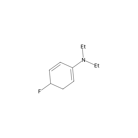 CCN(CC)C1=CCC(F)C=C1